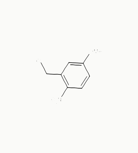 COc1ccc([N+](=O)[O-])c(CCl)c1